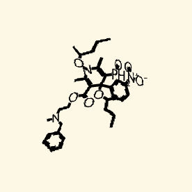 CCCC(C)ON1C(C)=C([PH2]=O)C(OC(C)CCC)(c2cccc([N+](=O)[O-])c2)C(C(=O)OCCN(C)Cc2ccccc2)=C1C